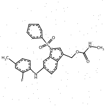 CNC(=O)OCc1cn(S(=O)(=O)c2ccccc2)c2cc(Nc3ccc(C)cc3F)ccc12